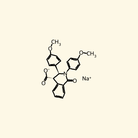 COc1ccc([C@@H]2[C@@H](C(=O)[O-])c3ccccc3C(=O)N2c2ccc(OC)cc2)cc1.[Na+]